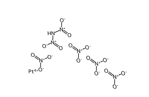 O=[N+]([O-])N[N+](=O)[O-].O=[N+]([O-])[O-].O=[N+]([O-])[O-].O=[N+]([O-])[O-].O=[N+]([O-])[O-].[Pt+4]